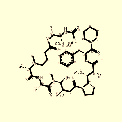 CC[C@H](C)[C@@H]([C@@H](CC(=O)N1CCC[C@H]1[C@H](OC)[C@@H](C)C(=O)N[C@@H](Cc1ccccc1)C(=O)N1CCCCO1)OC)N(C)C(=O)[C@@H](NC(=O)[C@H](C(C)C)N(C)CCCC(=O)O[C@H](C)[C@H](NC(=O)OC(C)(C)C)C(=O)O)C(C)C